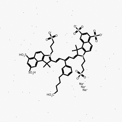 CC1(C)C(/C=C/C(=C/C=C2/N(CCCS(=O)(=O)[O-])c3ccc4c(S(=O)(=O)[O-])cc(S(=O)(=O)[O-])cc4c3C2(C)C)c2cccc(CCCCC(=O)O)c2)=[N+](CCCS(=O)(=O)[O-])c2ccc3c(S(=O)(=O)O)cc(S(=O)(=O)O)cc3c21.[Na+].[Na+].[Na+]